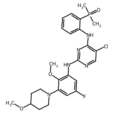 COc1c(Nc2ncc(Cl)c(Nc3ccccc3P(C)(C)=O)n2)cc(F)cc1N1CCC(OC)CC1